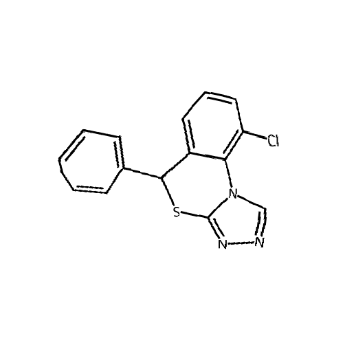 Clc1cccc2c1-n1cnnc1SC2c1ccccc1